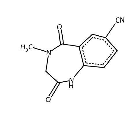 CN1CC(=O)Nc2ccc(C#N)cc2C1=O